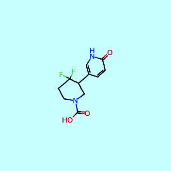 O=C(O)N1CCC(F)(F)C(c2ccc(=O)[nH]c2)C1